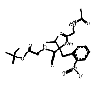 CC(=O)NCC(=O)NC(Cc1ccccc1[N+](=O)[O-])(C(=O)NCC(=O)OC(C)(C)C)C(C)C